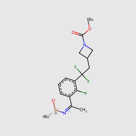 C/C(=N/[S@@+]([O-])C(C)(C)C)c1cccc(C(F)(F)CC2CN(C(=O)OC(C)(C)C)C2)c1F